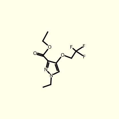 CCOC(=O)c1nn(CC)cc1OCC(F)(F)F